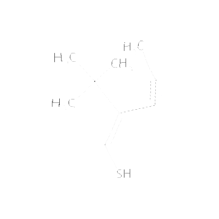 C/C=C\C(=C/S)C(C)(C)C